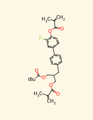 C=C(C)C(=O)OCC(COC(=O)C(C)(C)C)Cc1ccc(-c2ccc(OC(=O)C(=C)C)c(F)c2)cc1